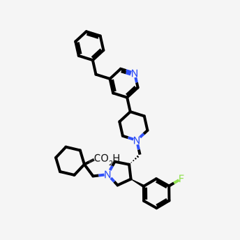 O=C(O)C1(CN2C[C@H](CN3CCC(c4cncc(Cc5ccccc5)c4)CC3)[C@@H](c3cccc(F)c3)C2)CCCCC1